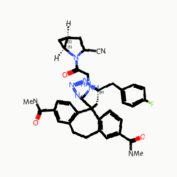 CNC(=O)c1ccc2c(c1)CCc1cc(C(=O)NC)ccc1C2(C[C@@H](Cc1ccc(F)cc1)NCC(=O)N1C(C#N)C[C@@H]2C[C@@H]21)c1nnn[nH]1